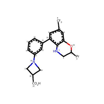 CC(C)C1CNc2c(cc(C(F)(F)F)cc2-c2cccc(N3CC(C(=O)O)C3)c2)O1